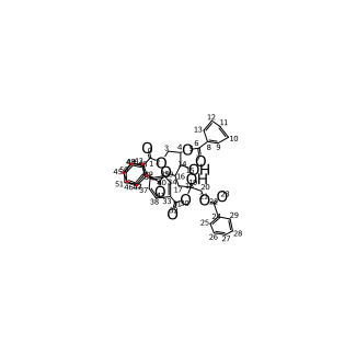 O=C(OCC(OC(=O)c1ccccc1)C(O)C(CC(O)(COC(=O)c1ccccc1)OC(=O)c1ccccc1)OC(=O)c1ccccc1)c1ccccc1